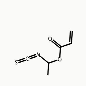 C=CC(=O)OC(C)N=C=S